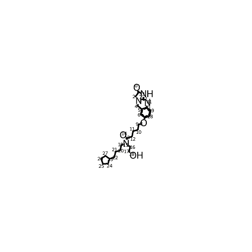 O=C1CN2Cc3cc(OCCCCC(=O)N(CCO)CCCCC4CCCC4)ccc3N=C2N1